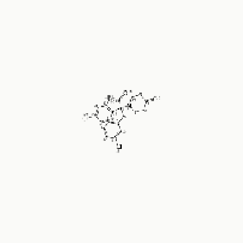 O=C1CCN(C2(Cc3cccc(Cl)c3)C(=O)Nc3cc(Cl)ccc32)CC1